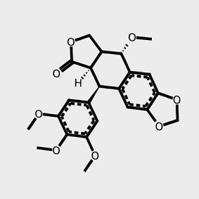 COc1cc([C@@H]2c3cc4c(cc3[C@@H](OC)C3COC(=O)[C@@H]32)OCO4)cc(OC)c1OC